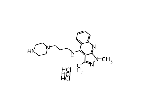 Cc1nn(C)c2nc3ccccc3c(NCCCN3CCNCC3)c12.Cl.Cl.Cl